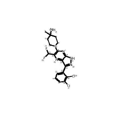 CC1(N)CCN(c2nc3[nH]nc(-c4cccc(Cl)c4Cl)c3nc2C(F)F)CC1